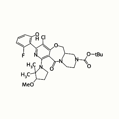 COC1CCN(c2nc(-c3c(O)cccc3F)c(Cl)c3c2C(=O)N2CCN(C(=O)OC(C)(C)C)CC2CO3)C1(C)C